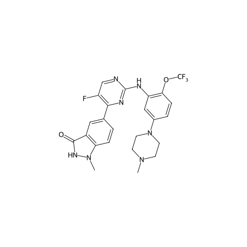 CN1CCN(c2ccc(OC(F)(F)F)c(Nc3ncc(F)c(-c4ccc5c(c4)c(=O)[nH]n5C)n3)c2)CC1